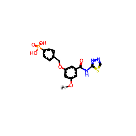 CC(C)Oc1cc(OCc2ccc(P(=O)(O)O)cc2)cc(C(=O)Nc2nncs2)c1